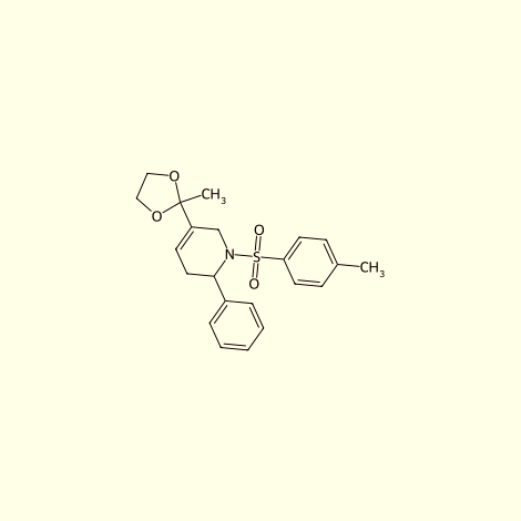 Cc1ccc(S(=O)(=O)N2CC(C3(C)OCCO3)=CCC2c2ccccc2)cc1